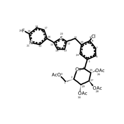 CC(=O)OC[C@@H]1OC(c2ccc(Cl)c(Cc3ccc(-c4ccc(F)nc4)s3)c2)[C@H](OC(C)=O)[C@@H](OC(C)=O)[C@@H]1OC(C)=O